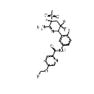 CC1(S(C)(=O)=O)CC(F)(F)C(c2cc(NC(=O)c3cnc(OCF)cn3)ccc2F)N=C1N